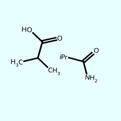 CC(C)C(=O)O.CC(C)C(N)=O